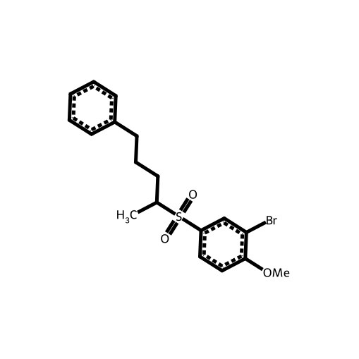 COc1ccc(S(=O)(=O)C(C)CCCc2ccccc2)cc1Br